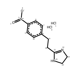 Cl.Cl.O=[N+]([O-])c1ccc(CCC2=NCCN2)cc1